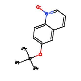 CC(C)[Si](Oc1ccc2c(ccc[n+]2[O-])c1)(C(C)C)C(C)C